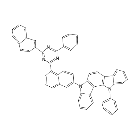 c1ccc(-c2nc(-c3ccc4ccccc4c3)nc(-c3cccc4cc(-n5c6ccccc6c6c5ccc5c7ccccc7n(-c7ccccc7)c56)ccc34)n2)cc1